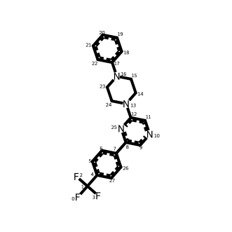 FC(F)(F)c1ccc(-c2cncc(N3CCN(c4ccccc4)CC3)n2)cc1